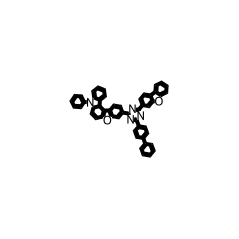 C1=CC2C(c3ccccc3N2c2ccccc2)c2c1oc1cc(-c3nc(-c4ccc(-c5ccccc5)cc4)nc(-c4ccc5c(c4)oc4ccccc45)n3)ccc21